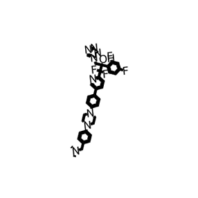 CN(C)Cc1ccc(N2CCN(c3ccc(-c4ccc(C(F)(F)[C@](O)(Cn5cnnn5)c5ccc(F)cc5F)nc4)cc3)CC2)cc1